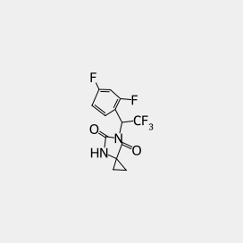 O=C1NC2(CC2)C(=O)N1C(c1ccc(F)cc1F)C(F)(F)F